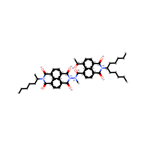 CCCCCC(C)N1C(=O)c2ccc3c4c(ccc(c24)C1=O)C(=O)N(N(C)C(=O)c1ccc2c4c(ccc(C(C)=O)c14)C(=O)N(C(CCCCC)CCCCC)C2=O)C3=O